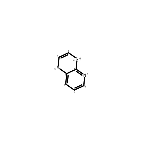 [c]1ccc2c(n1)NC=CS2